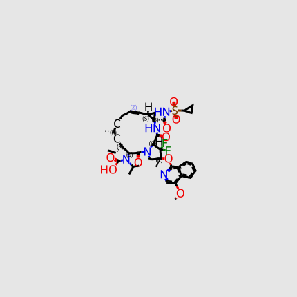 CC[C@@H]1C[C@H](C)CC/C=C\[C@@H]2C[C@@]2(C(=O)NS(=O)(=O)C2CC2)NC(=O)[C@@H]2N(C[C@@](C)(Oc3ncc(OC)c4ccccc34)C2(F)F)C(=O)[C@H]1N(C(=O)O)C(C)C